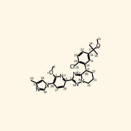 COc1nc(-c2nc3n(n2)CCC[C@@H]3c2cc(C(C)(C)OC)ccc2Cl)ccc1-n1cnc(C)c1